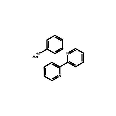 Sc1ccccc1.[Mo].c1ccc(-c2ccccn2)nc1